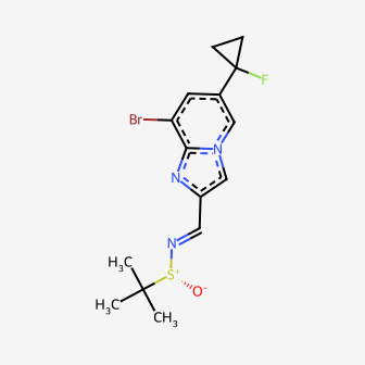 CC(C)(C)[S@@+]([O-])/N=C/c1cn2cc(C3(F)CC3)cc(Br)c2n1